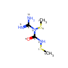 CSNC(=O)N(SC)C(=N)N